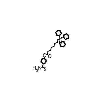 NC(=S)c1ccc(OC(=O)CCCCCCC[PH](c2ccccc2)(c2ccccc2)c2ccccc2)cc1